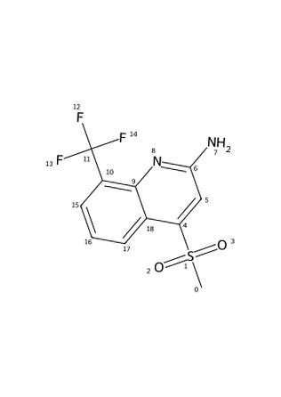 CS(=O)(=O)c1cc(N)nc2c(C(F)(F)F)cccc12